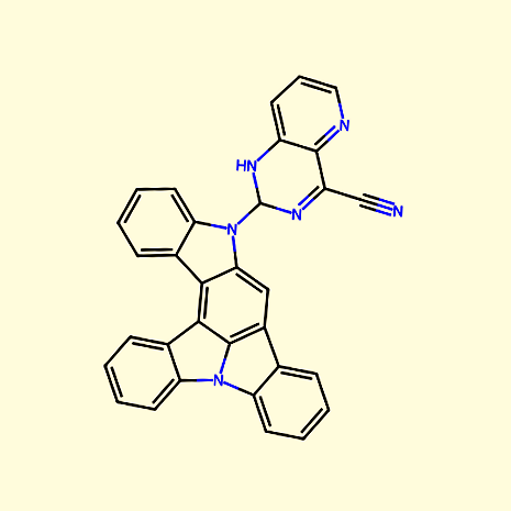 N#CC1=NC(n2c3ccccc3c3c4c5ccccc5n5c6ccccc6c(cc32)c45)Nc2cccnc21